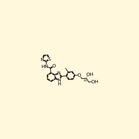 Cc1cc(OC[C@H](O)CO)ccc1-c1nc2c(C(=O)Nc3nccs3)cccc2[nH]1